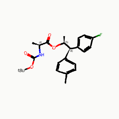 Cc1ccc([C@H](c2ccc(F)cc2)[C@H](C)OC(=O)[C@H](C)NC(=O)OC(C)(C)C)cc1